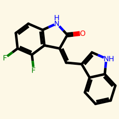 O=C1Nc2ccc(F)c(F)c2C1=Cc1c[nH]c2ccccc12